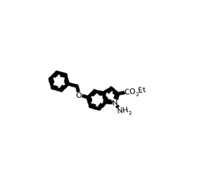 CCOC(=O)c1cc2cc(OCc3ccccc3)ccc2n1N